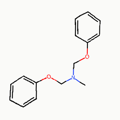 CN(COc1ccccc1)COc1ccccc1